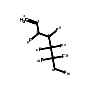 C=CC(F)C(F)C(F)(F)C(F)(F)CF